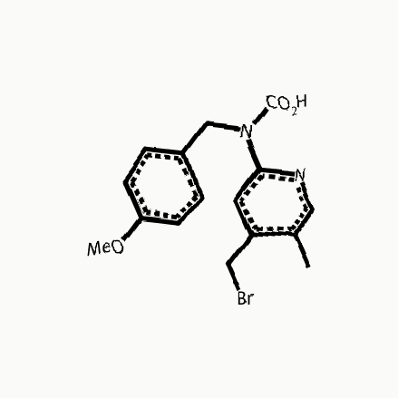 COc1ccc(CN(C(=O)O)c2cc(CBr)c(C)cn2)cc1